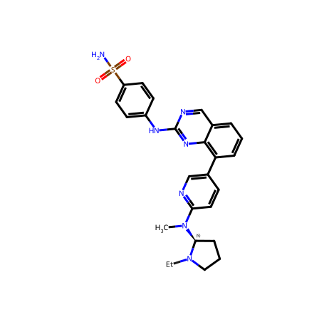 CCN1CCC[C@@H]1N(C)c1ccc(-c2cccc3cnc(Nc4ccc(S(N)(=O)=O)cc4)nc23)cn1